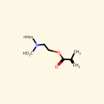 C=C(C)C(=O)OCCN(CCCCCC)C(=O)O